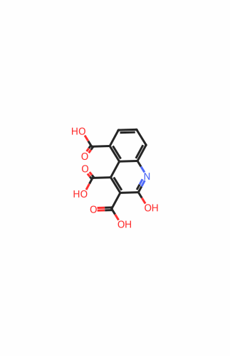 O=C(O)c1c(O)nc2cccc(C(=O)O)c2c1C(=O)O